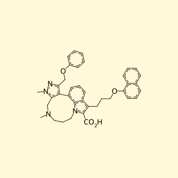 CN1CCCn2c(C(=O)O)c(CCCOc3cccc4ccccc34)c3cccc(c32)-c2c(COc3ccccc3)nn(C)c2C1